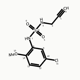 C#CCNS(=O)(=O)Nc1cc(Cl)ccc1OC